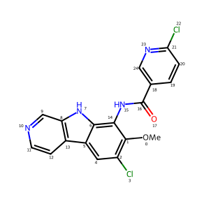 COc1c(Cl)cc2c([nH]c3cnccc32)c1NC(=O)c1ccc(Cl)nc1